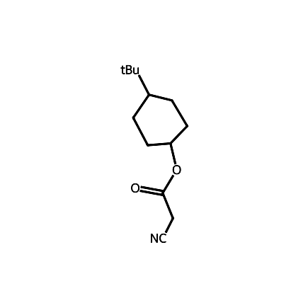 CC(C)(C)C1CCC(OC(=O)CC#N)CC1